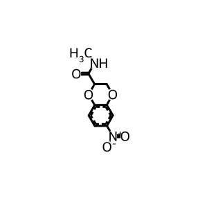 CNC(=O)C1COc2cc([N+](=O)[O-])ccc2O1